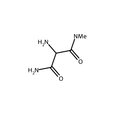 CNC(=O)C(N)C(N)=O